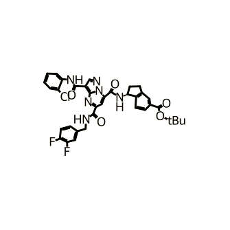 CC(C)(C)OC(=O)c1ccc2c(c1)CC[C@@H]2NC(=O)c1cc(C(=O)NCc2ccc(F)c(F)c2)nc2c(C(=O)Nc3ccccc3Cl)cnn12